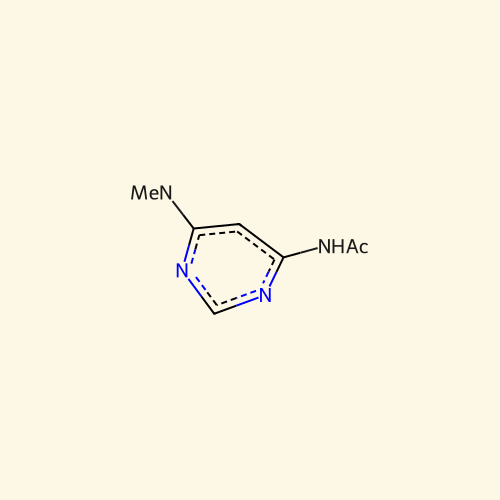 CNc1cc(NC(C)=O)ncn1